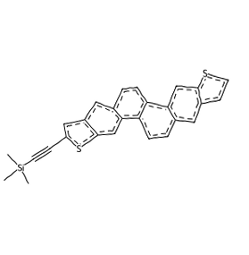 C[Si](C)(C)C#Cc1cc2cc3ccc4c5cc6sccc6cc5ccc4c3cc2s1